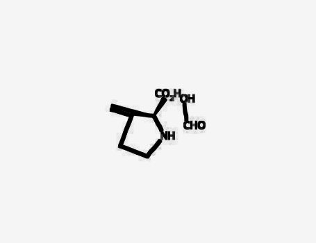 C=C1CCN[C@@H]1C(=O)O.O=CO